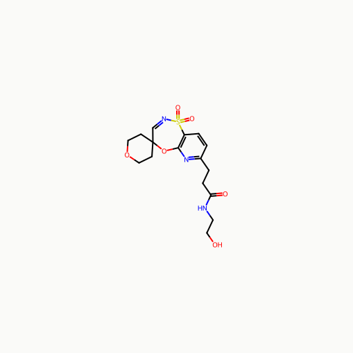 O=C(CCc1ccc2c(n1)OC1(C=NS2(=O)=O)CCOCC1)NCCO